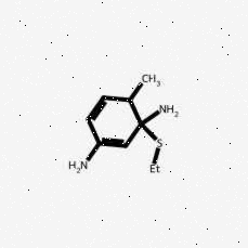 CCSC1(N)C=C(N)C=CC1C